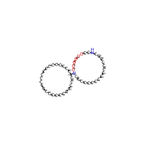 C1CCCCCCCCCCCCC(N2CCCCCCCCCCCCCCCCNCCOOOOOO2)CCCCCCCCCCCC1